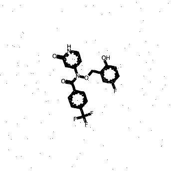 O=C(c1ccc(C(F)(F)F)cc1)N(OCc1cc(F)ccc1O)c1cc[nH]c(=O)c1